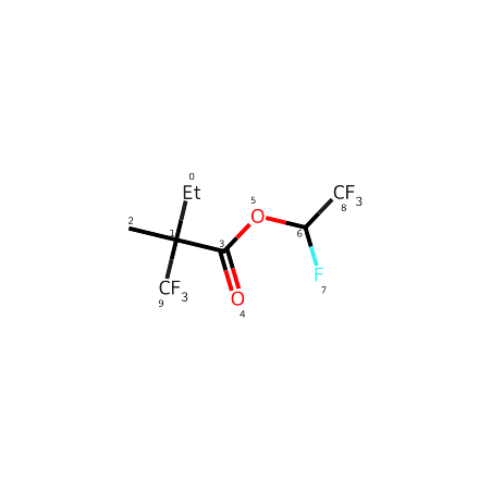 CCC(C)(C(=O)OC(F)C(F)(F)F)C(F)(F)F